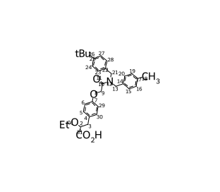 CCO[C@@H](Cc1ccc(OCC(=O)N(Cc2ccc(C)cc2)Cc2ccc(C(C)(C)C)cc2)cc1)C(=O)O